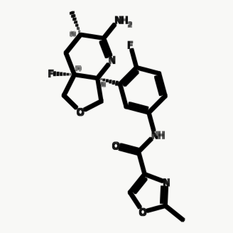 Cc1nc(C(=O)Nc2ccc(F)c([C@]34COC[C@@]3(F)C[C@H](C)C(N)=N4)c2)co1